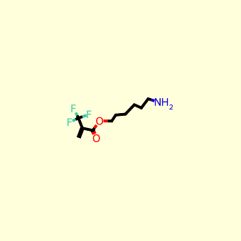 C=C(C(=O)OCCCCCCN)C(F)(F)F